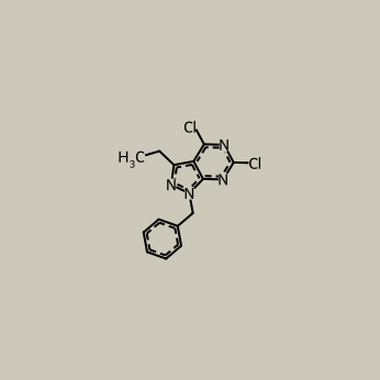 CCc1nn(Cc2ccccc2)c2nc(Cl)nc(Cl)c12